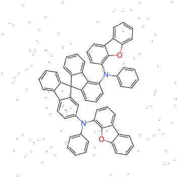 c1ccc(N(c2ccc3c(c2)C2(c4ccccc4-3)c3ccccc3-c3c(N(c4ccccc4)c4cccc5c4oc4ccccc45)cccc32)c2cccc3c2oc2ccccc23)cc1